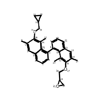 Cc1cc2cccc(-c3cccc4cc(C)c(OCC5CO5)c(C)c34)c2c(C)c1OCC1CC1